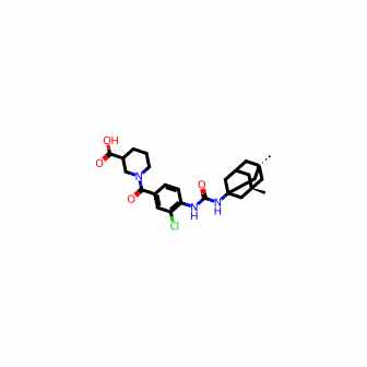 C[C@]12CC3CC(NC(=O)Nc4ccc(C(=O)N5CCCC(C(=O)O)C5)cc4Cl)(C1)C[C@@](C)(C3)C2